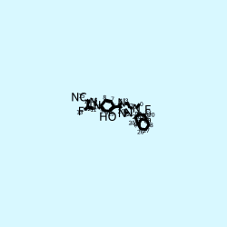 CN(c1cnc(-c2ccc(-n3cc(F)c(C#N)n3)cc2O)nn1)[C@H]1C[C@]2(C)CCC[C@@](C)(C2)[C@H]1F